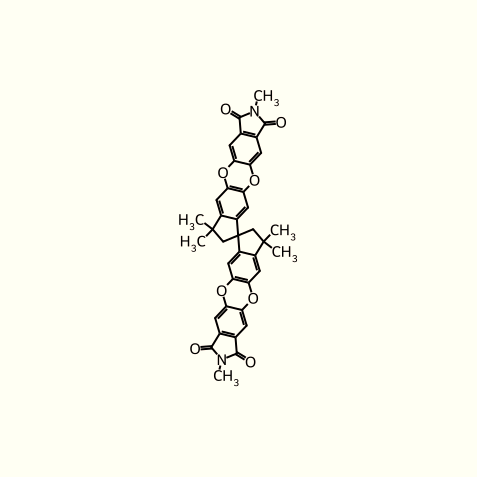 Cn1c(=O)c2cc3oc4cc5c(cc4oc3cc2c1=O)C1(CC5(C)C)CC(C)(C)c2cc3oc4cc5c(=O)n(C)c(=O)c5cc4oc3cc21